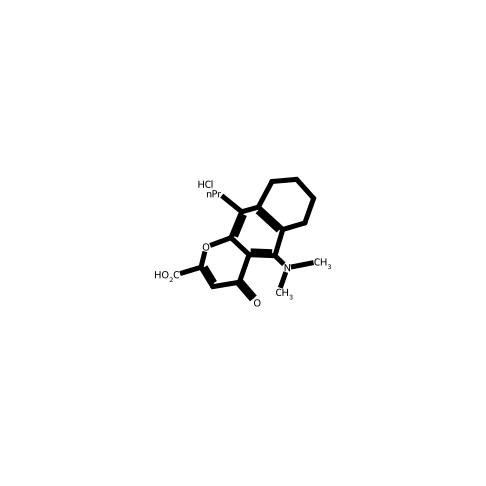 CCCc1c2c(c(N(C)C)c3c(=O)cc(C(=O)O)oc13)CCCC2.Cl